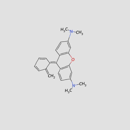 C=c1ccccc1=C1c2ccc(N(C)C)cc2Oc2cc(N(C)C)ccc21